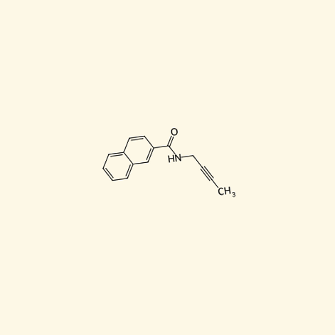 CC#CCNC(=O)c1ccc2ccccc2c1